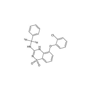 [2H]C([2H])(NC1=NS(=O)(=O)c2cccc(Oc3ccccc3Cl)c2N1)c1ccccc1